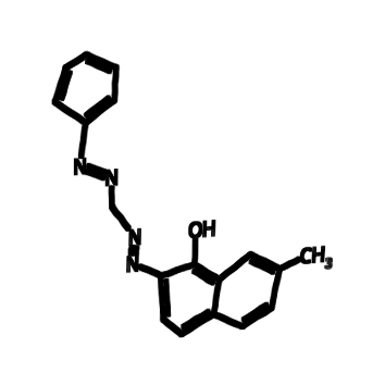 Cc1ccc2ccc(N=NCN=Nc3ccccc3)c(O)c2c1